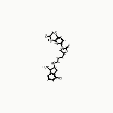 NC1c2cccc(Cl)c2CC1NCCCC1CN(c2ccc3c(n2)NC(=O)CO3)C(=O)O1